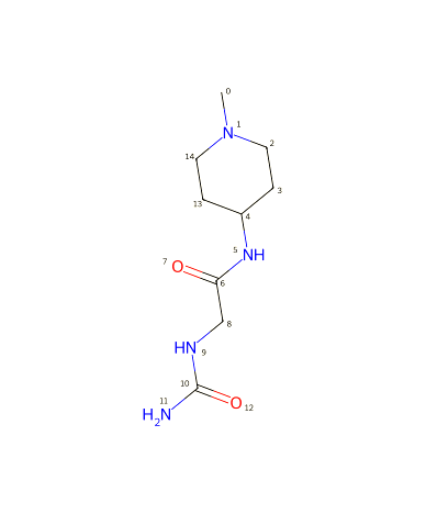 CN1CCC(NC(=O)CNC(N)=O)CC1